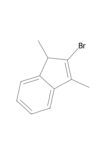 CC1=C(Br)C(C)c2ccccc21